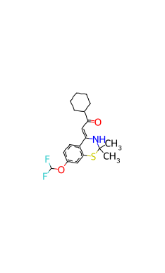 CC1(C)N/C(=C\C(=O)C2CCCCC2)c2ccc(OC(F)F)cc2S1